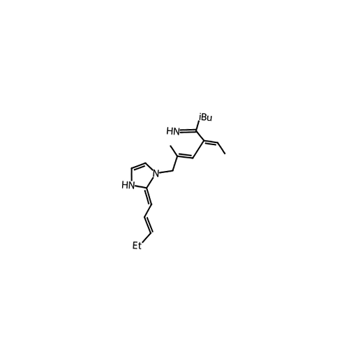 C/C=C(\C=C(/C)CN1C=CN/C1=C\C=C\CC)C(=N)C(C)CC